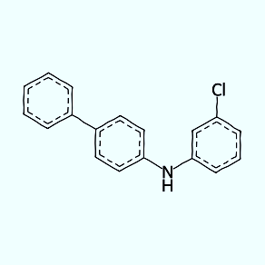 Clc1cccc(Nc2ccc(-c3ccccc3)cc2)c1